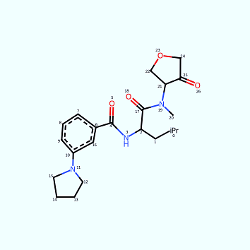 CC(C)CC(NC(=O)c1cccc(N2CCCC2)c1)C(=O)N(C)C1COCC1=O